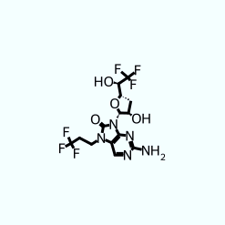 Nc1ncc2c(n1)n([C@@H]1O[C@H]([C@@H](O)C(F)(F)F)C[C@H]1O)c(=O)n2CCC(F)(F)F